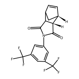 O=C1C2C3C=C[C@@H](C3)[C@@H]2C(=O)N1c1cc(C(F)(F)F)cc(C(F)(F)F)c1